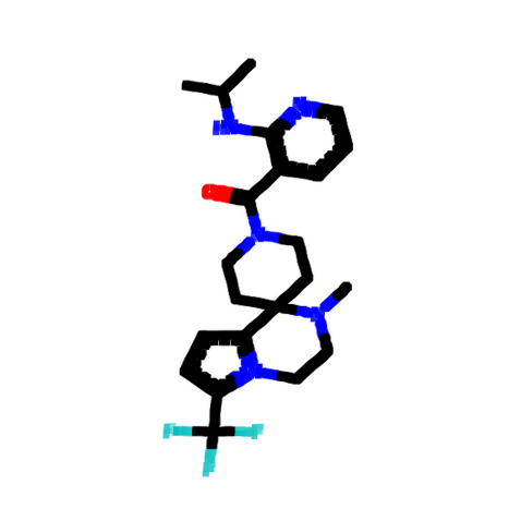 CC(C)Nc1ncccc1C(=O)N1CCC2(CC1)c1ccc(C(F)(F)F)n1CCN2C